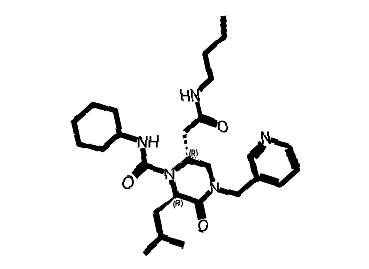 CCCCNC(=O)C[C@@H]1CN(Cc2cccnc2)C(=O)[C@@H](CC(C)C)N1C(=O)NC1CCCCC1